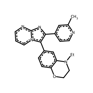 CCN1CCOc2ccc(-c3c(-c4ccnc(C)c4)nc4ncccn34)cc21